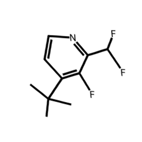 CC(C)(C)c1ccnc(C(F)F)c1F